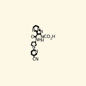 N#Cc1ccc(N2CCC(NC(=O)c3c(NC(=O)O)nn4cccnc34)C2)nc1